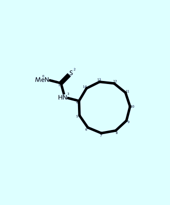 CNC(=S)NC1CCCCCCCCCC1